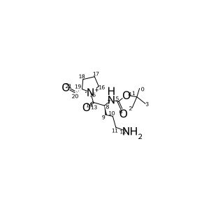 CC(C)(C)OC(=O)N[C@@H](CCCN)C(=O)[N+]1CCC[C@H]1C=O